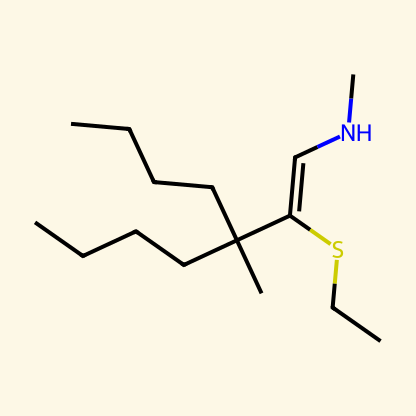 CCCCC(C)(CCCC)/C(=C/NC)SCC